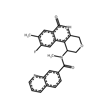 Cc1cc2c(=O)[nH]c3c(c2cc1F)C(N(C)C(=O)c1ccc2cccnc2c1)COC3